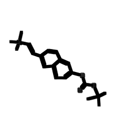 CC(C)(C)OC(=O)Oc1ccc2cc(C=C[Si](C)(C)C)ccc2c1